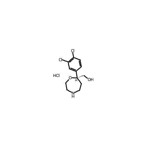 Cl.OC[C@]1(c2ccc(Cl)c(Cl)c2)CCNCCO1